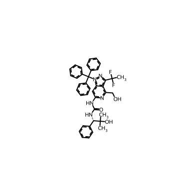 CC(F)(F)c1nn(C(c2ccccc2)(c2ccccc2)c2ccccc2)c2cc(NC(=O)N[C@@H](c3ccccc3)C(C)(C)O)nc(CO)c12